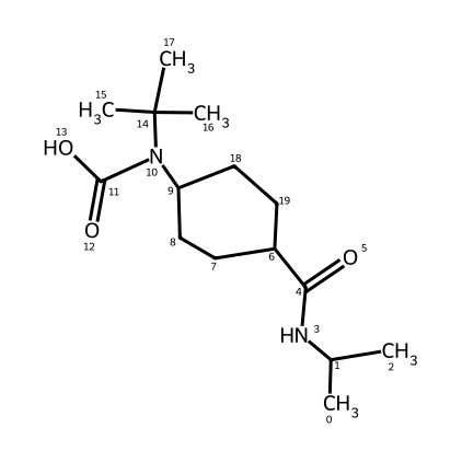 CC(C)NC(=O)C1CCC(N(C(=O)O)C(C)(C)C)CC1